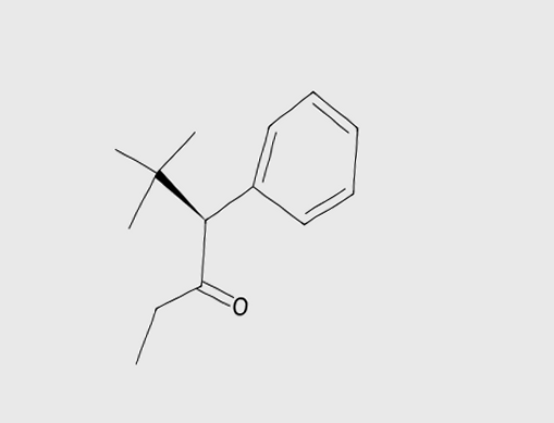 CCC(=O)[C@H](c1ccccc1)C(C)(C)C